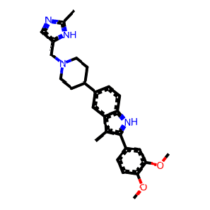 COc1ccc(-c2[nH]c3ccc(C4CCN(Cc5cnc(C)[nH]5)CC4)cc3c2C)cc1OC